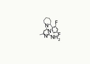 Cc1cc(N2CCCCCC2c2ccc(F)cc2F)nc(N)n1